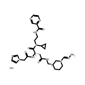 Cl.NN=CN1CCC[C@@H](CNC(=O)C[C@H](NC(=O)Cn2ccnc2)C(=O)N(CCNC(=O)c2cnccn2)C2CC2)C1